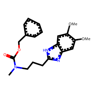 COc1cc2nc(CCCN(C)C(=O)OCc3ccccc3)[nH]c2cc1OC